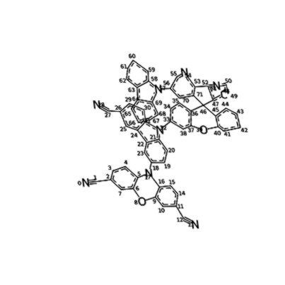 N#Cc1ccc2c(c1)Oc1cc(C#N)ccc1N2c1ccc2c(c1)c1cc(C#N)ccc1n2-c1ccc2c(c1)Oc1ccccc1C21c2cccnc2-c2ncc(-n3c4ccccc4c4ccccc43)cc21